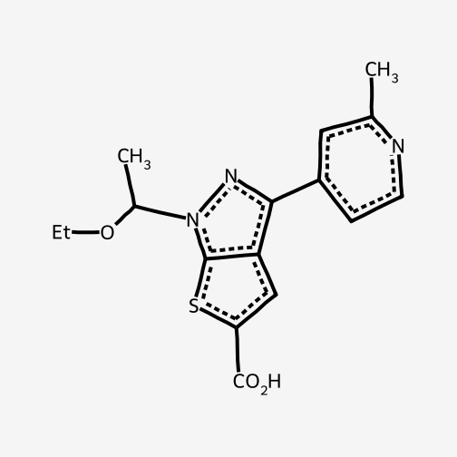 CCOC(C)n1nc(-c2ccnc(C)c2)c2cc(C(=O)O)sc21